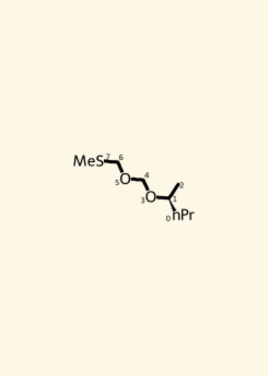 CCC[C@H](C)OCOCSC